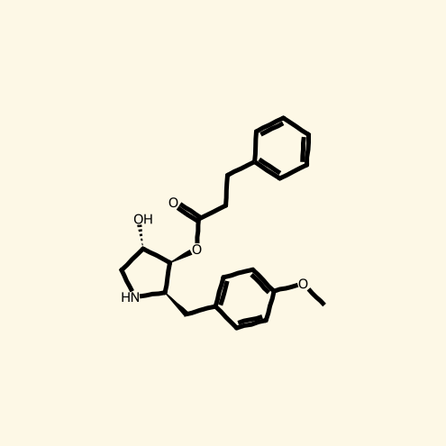 COc1ccc(C[C@H]2NC[C@H](O)[C@H]2OC(=O)CCc2ccccc2)cc1